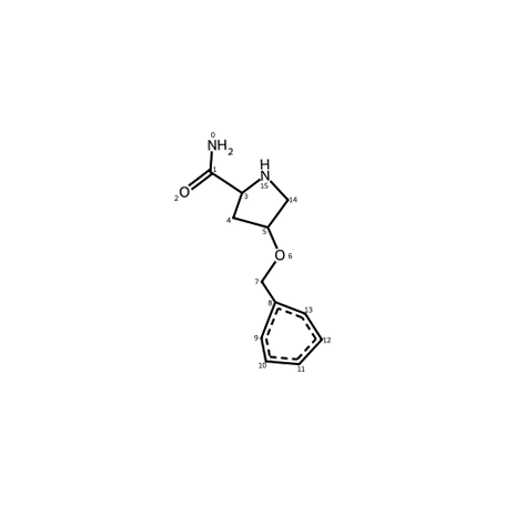 NC(=O)C1CC(OCc2ccccc2)CN1